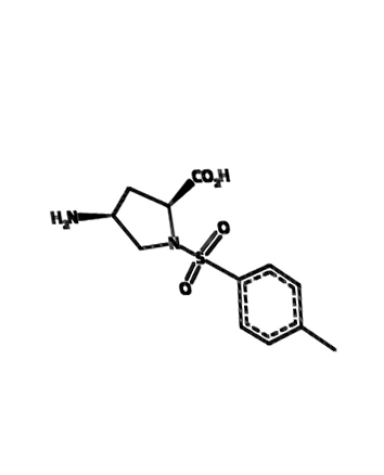 Cc1ccc(S(=O)(=O)N2C[C@@H](N)C[C@H]2C(=O)O)cc1